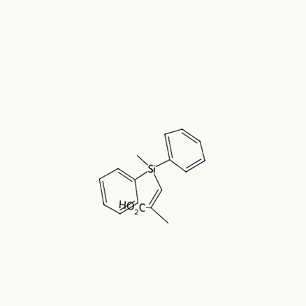 CC(=C[Si](C)(c1ccccc1)c1ccccc1)C(=O)O